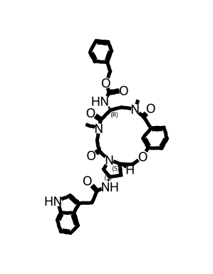 CN1C[C@@H](NC(=O)OCc2ccccc2)C(=O)N(C)CC(=O)N2C[C@@H](NC(=O)Cc3c[nH]c4ccccc34)C[C@H]2COc2cccc(c2)C1=O